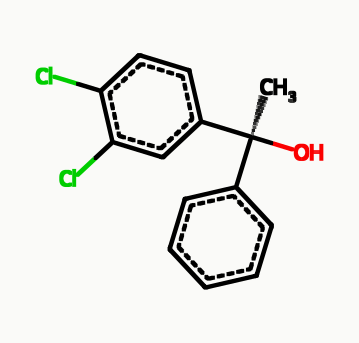 C[C@](O)(c1ccccc1)c1ccc(Cl)c(Cl)c1